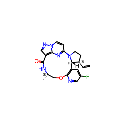 C=C[C@@H]1CCN2c3ccn4ncc(c4n3)C(=O)N[C@@H](C)COc3ncc(F)cc3[C@@H]12